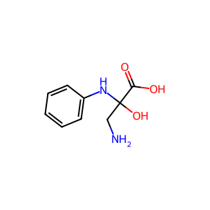 NCC(O)(Nc1ccccc1)C(=O)O